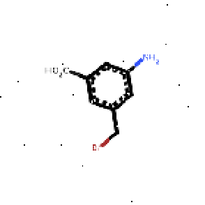 Nc1cc(CBr)cc(C(=O)O)c1